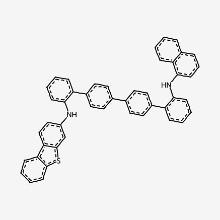 c1ccc(-c2ccc(-c3ccc(-c4ccccc4Nc4cccc5ccccc45)cc3)cc2)c(Nc2ccc3c(c2)sc2ccccc23)c1